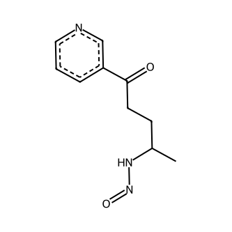 CC(CCC(=O)c1cccnc1)NN=O